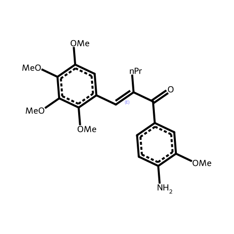 CCC/C(=C\c1cc(OC)c(OC)c(OC)c1OC)C(=O)c1ccc(N)c(OC)c1